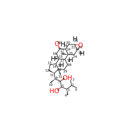 CC(C)[C@@H](C)[C@@H](O)[C@H](O)[C@@H](C)[C@H]1CC[C@H]2[C@@H]3CC(=O)[C@H]4C[C@H]5O[C@H]5C[C@]4(C)[C@H]3CC[C@]12C